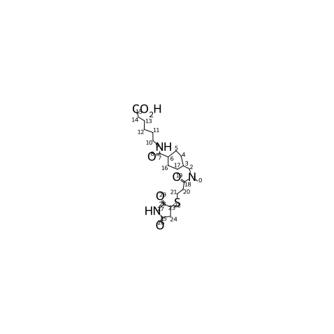 CN(CC1CCC(C(=O)NCCCCCC(=O)O)CC1)C(=O)CCSC1CC(=O)NC1=O